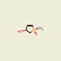 CP1(=O)C=C[C@H](O)C1